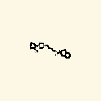 O=C(NCCCCN1CCN(c2ccccc2O)CC1)C1=Cc2ccccc2CC1